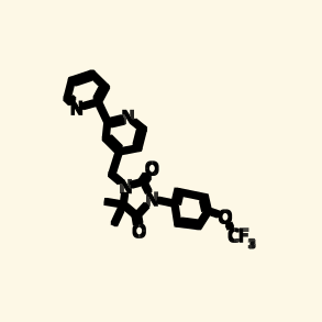 CC1(C)C(=O)N(c2ccc(OC(F)(F)F)cc2)C(=O)N1Cc1ccnc(-c2ccccn2)c1